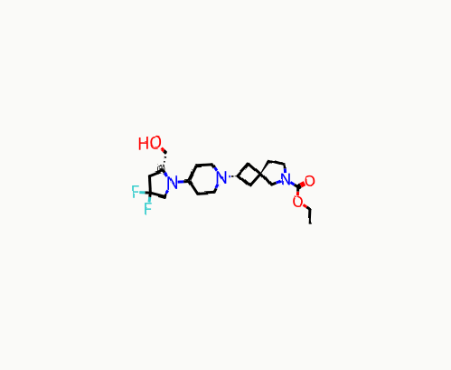 CCOC(=O)N1CC[C@]2(C1)C[C@@H](N1CCC(N3CC(F)(F)C[C@@H]3CO)CC1)C2